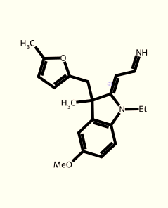 CCN1/C(=C\C=N)C(C)(Cc2ccc(C)o2)c2cc(OC)ccc21